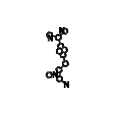 N#Cc1ccc2c(c1)c1cc(-c3cccc(-c4cc5ccc6cc(-c7cc(-c8ccccn8)cc(-c8ccccn8)c7)cc7ccc(c4)c5c67)c3)ccc1n2-c1ccccc1